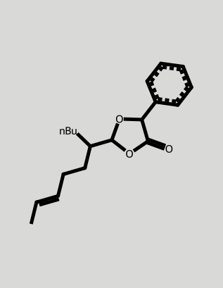 CC=CCCC(CCCC)C1OC(=O)C(c2ccccc2)O1